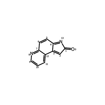 O=C1C=c2c(ccc3ncccc23)=N1